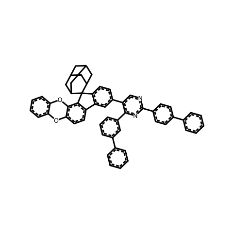 c1ccc(-c2ccc(-c3ncc(-c4ccc5c(c4)-c4ccc6c(c4C54C5CC7CC(C5)CC4C7)Oc4ccccc4O6)c(-c4cccc(-c5ccccc5)c4)n3)cc2)cc1